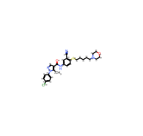 Cc1c(C(=O)Nc2ccc(SCCCCCN3CCOCC3)c(C#N)c2)cnn1-c1ccc(Cl)cc1